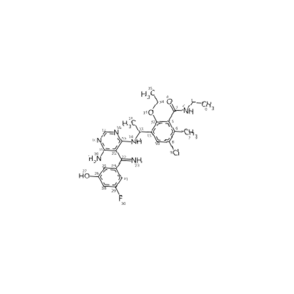 CCNC(=O)c1c(C)c(Cl)cc(C(C)Nc2ncnc(N)c2C(=N)c2cc(O)cc(F)c2)c1OCC